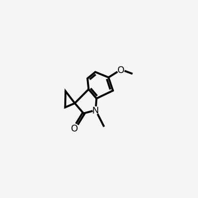 COc1ccc2c(c1)N(C)C(=O)C21CC1